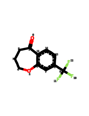 O=C1CCCOc2cc(C(F)(F)F)ccc21